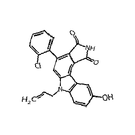 C=CCn1c2ccc(O)cc2c2c3c(c(-c4ccccc4Cl)cc21)C(=O)NC3=O